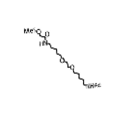 CSOCC(=O)NCCCCCOCCOCCCCCNC(C)=O